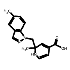 Cc1ccc2c(cnn2CC2(C)C=C(C(=O)O)C=CN2)c1